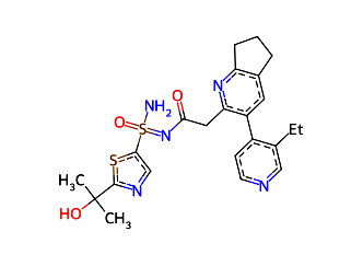 CCc1cnccc1-c1cc2c(nc1CC(=O)N=S(N)(=O)c1cnc(C(C)(C)O)s1)CCC2